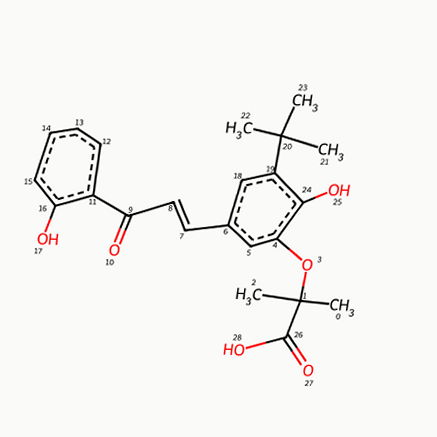 CC(C)(Oc1cc(C=CC(=O)c2ccccc2O)cc(C(C)(C)C)c1O)C(=O)O